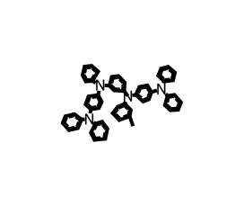 Cc1cccc(N(c2ccc(N(c3ccccc3)c3ccccc3)cc2)c2cccc(N(c3ccccc3)c3ccc(N(c4ccccc4)c4ccccc4)cc3)c2)c1